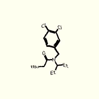 CCC(CC)N(Cc1ccc(Cl)c(Cl)c1)C(=O)CC(C)(C)C